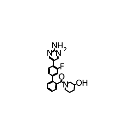 Nc1ncc(-c2ccc(-c3ccccc3C(=O)N3CCCC(O)C3)cc2F)cn1